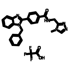 Cn1cnnc1CNC(=O)c1ccc(-c2nc3ccccc3n2Cc2ccccc2)cc1.O=C(O)C(F)(F)F